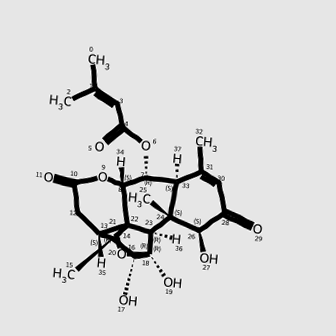 CC(C)=CC(=O)O[C@H]1[C@H]2OC(=O)C[C@H]3[C@@H](C)[C@@H](O)[C@]4(O)OCC23[C@H]4[C@@]2(C)[C@H](O)C(=O)C=C(C)[C@H]12